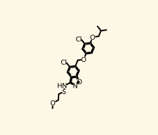 COCCSNc1noc2cc(COc3ccc(OCC(C)C)c(Cl)c3)c(Cl)cc12